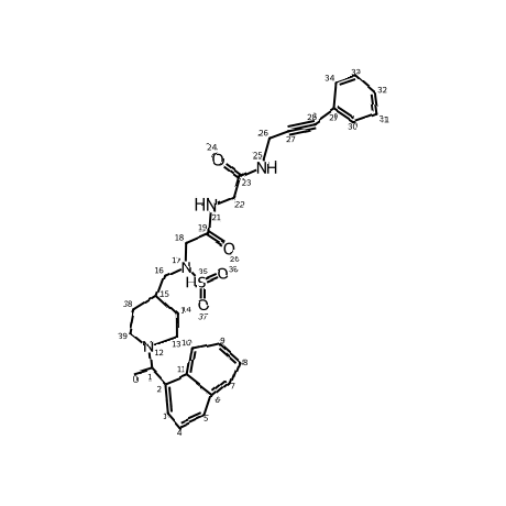 CC(c1cccc2ccccc12)N1CCC(CN(CC(=O)NCC(=O)NCC#Cc2ccccc2)[SH](=O)=O)CC1